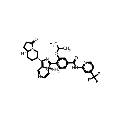 CC(C)Oc1cc(C(=O)Nc2cc(C(F)(F)F)ccn2)ccc1C1=NC([C@@H]2CC[C@H]3CCC(=O)N3C2)=C2C=NC=C[N+]12N